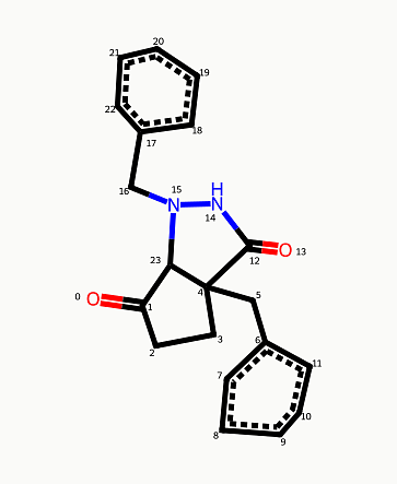 O=C1CCC2(Cc3ccccc3)C(=O)NN(Cc3ccccc3)C12